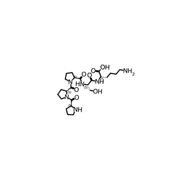 NCCCC[C@H](NC(=O)[C@H](CO)NC(=O)[C@@H]1CCCN1C(=O)[C@@H]1CCCN1C(=O)[C@@H]1CCCN1)C(=O)O